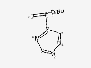 CC(C)COC(=O)c1ccncn1